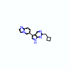 c1cn2cc(-c3c[nH]c4nc(CC5CCC5)ncc34)ccc2n1